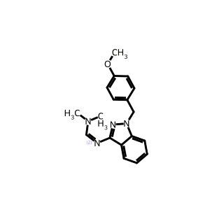 COc1ccc(Cn2nc(/N=C\N(C)C)c3ccccc32)cc1